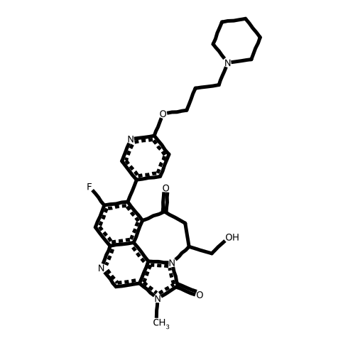 Cn1c(=O)n2c3c4c(c(-c5ccc(OCCCN6CCCCC6)nc5)c(F)cc4ncc31)C(=O)CC2CO